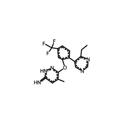 CCc1ncncc1-c1ccc(C(F)(F)F)cc1Oc1n[nH]c(=N)cc1C